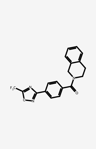 O=C(c1ccc(-c2noc(C(F)(F)F)n2)cc1)N1CCc2ccccc2C1